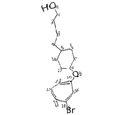 OCCCCC1CCC(Oc2cccc(Br)c2)CC1